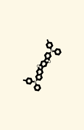 Cc1ccc(N(c2ccccc2)c2ccc3cc4c(cc3c2)oc2cc3c(cc24)oc2cc(N(c4ccccc4)c4ccc(C)cc4)ccc23)cc1